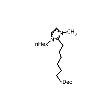 CCCCCCCCCCCCCCCCc1n(C)cc[n+]1CCCCCC